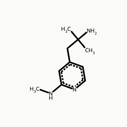 CNc1cc(CC(C)(C)N)ccn1